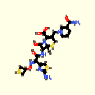 NC(=O)c1ccc[n+](CC2=C(C(=O)[O-])N3C(=O)C(NC(=O)/C(=N/OC4CSC4)c4csc(N)n4)[C@H]3SC2)c1